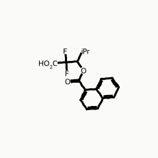 CC(C)C(OC(=O)c1cccc2ccccc12)C(F)(F)C(=O)O